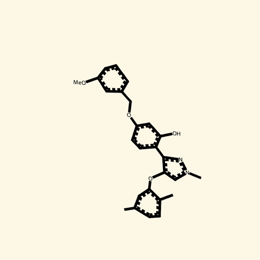 COc1cccc(COc2ccc(-c3nn(C)cc3Oc3cc(C)ccc3C)c(O)c2)c1